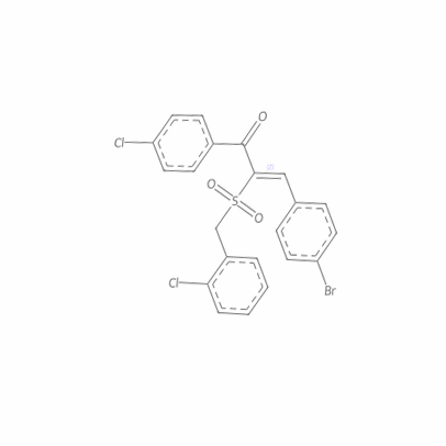 O=C(/C(=C/c1ccc(Br)cc1)S(=O)(=O)Cc1ccccc1Cl)c1ccc(Cl)cc1